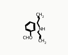 C=CCNCC=C.O=Cc1ccccc1